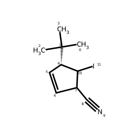 CC(C)(C)[C@H]1C=CC(C#N)C1I